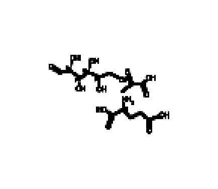 CC(=O)C(=O)O.N[C@@H](CCC(=O)O)C(=O)O.O=C[C@H](O)[C@@H](O)[C@H](O)[C@H](O)CO